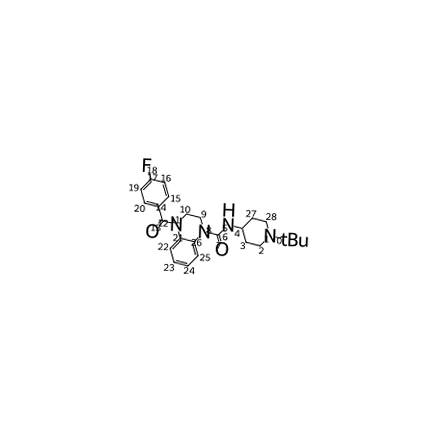 CC(C)(C)N1CCC(NC(=O)N2CCN(C(=O)c3ccc(F)cc3)c3ccccc32)CC1